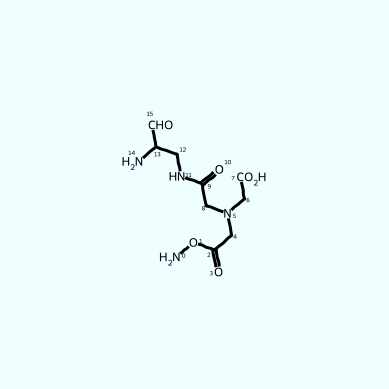 NOC(=O)CN(CC(=O)O)CC(=O)NCC(N)C=O